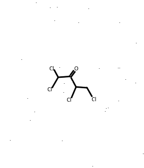 O=C(C(Cl)Cl)C(Cl)CCl